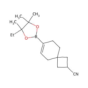 CCC1(C)OB(C2=CCC3(CC2)CC(C#N)C3)OC1(C)C